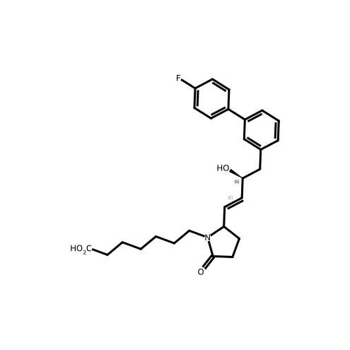 O=C(O)CCCCCCN1C(=O)CCC1/C=C/[C@@H](O)Cc1cccc(-c2ccc(F)cc2)c1